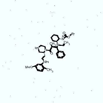 C=CN(/C(=C(\C)C(=O)N1CCNC[C@H]1CCNc1cc(OC)ccc1C)c1ccccc1)[C@H]1CCCC[C@@H]1NC(=O)OC(C)C